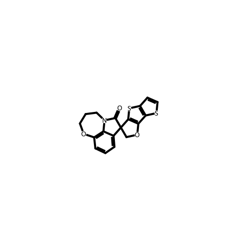 O=C1N2CCCOc3cccc(c32)C12COc1c2sc2ccsc12